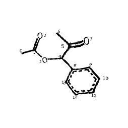 CC(=O)OC(C(C)=O)c1ccccc1